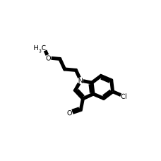 COCCCn1cc(C=O)c2cc(Cl)ccc21